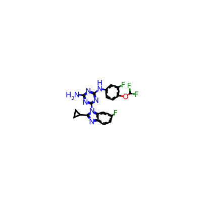 Nc1nc(Nc2ccc(OC(F)F)c(F)c2)nc(-n2c(C3CC3)nc3ccc(F)cc32)n1